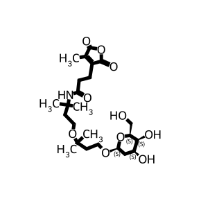 CC1=C(CCC(=O)NC(C)(C)CCOC(C)(C)CCO[C@@H]2C[C@H](O)[C@H](O)[C@H](CO)O2)C(=O)OC1=O